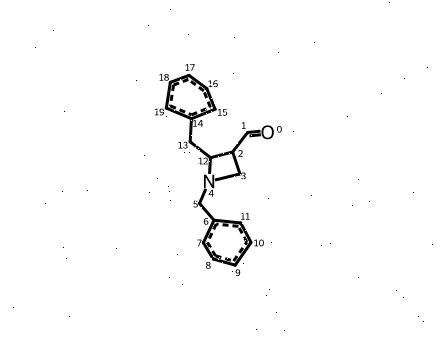 O=CC1CN(Cc2ccccc2)C1Cc1ccccc1